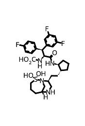 O=C(O)N[C@H](C(=O)N[C@H]1CCC[C@@H]1CC[C@H]1CN[C@@H]2CCCS(O)(O)N1C2)[C@@H](c1ccc(F)cc1)c1cc(F)cc(F)c1